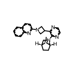 CN1[C@@H]2CC[C@H]1N(c1nccnc1C1CN(c3ccc4ccccc4n3)C1)C2